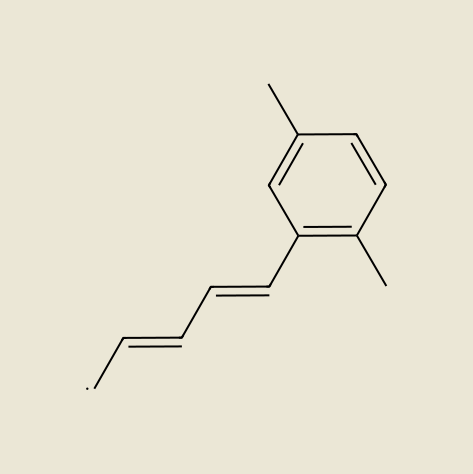 [CH2]C=CC=Cc1cc(C)ccc1C